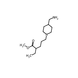 CCC(CCCN1CCC(CN)CC1)C(=O)OC